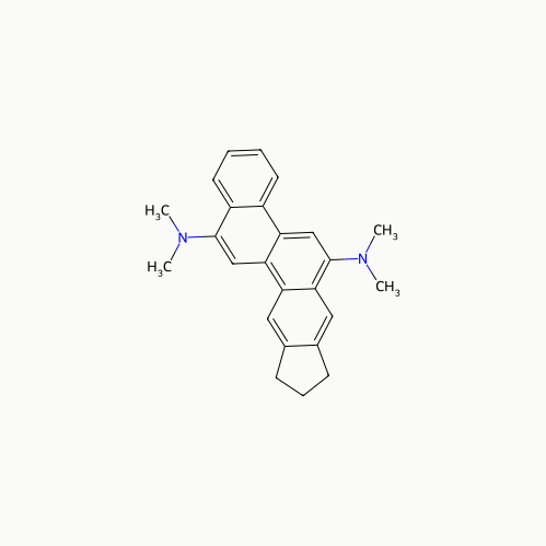 CN(C)c1cc2c3cc4c(cc3c(N(C)C)cc2c2ccccc12)CCC4